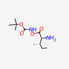 CC[C@H](C)[C@H](N)C(=O)ONC(=O)OC(C)(C)C